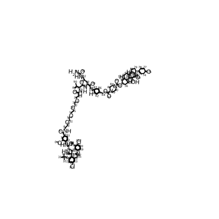 COc1cc(C(=O)NCCOCCOCCOCCOCCC(=O)N[C@@H](C(=O)N[C@@H](CCCNC(N)=O)C(=O)Nc2ccc(COC(=O)N3CCN(C(=O)O[C@H]4CC[C@@]5(C)[C@H](CC[C@@H]6[C@@H]5[C@H](O)C(=O)[C@]5(C)[C@@H](C7=CCC(=O)C=C7)CC[C@]65O)C4)CC3)cc2)C(C)C)ccc1NC(=O)[C@@H]1N[C@@H](CC(C)(C)C)[C@](C#N)(c2ccc(Cl)cc2F)[C@H]1c1cccc(Cl)c1F